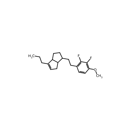 CCCC1=CCC2C(CCc3ccc(OC)c(F)c3F)CCC12